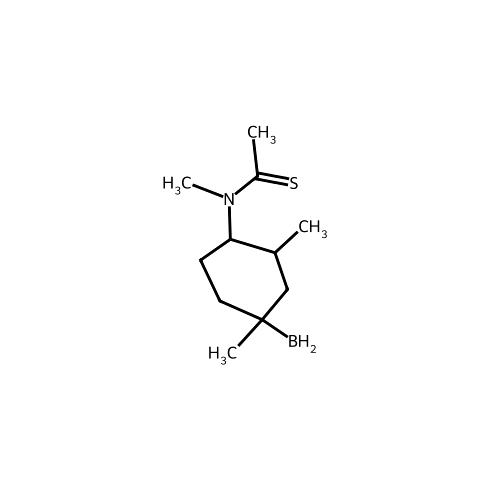 BC1(C)CCC(N(C)C(C)=S)C(C)C1